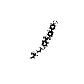 C=CC(=O)OCCCOc1ccc(C(=O)Nc2ccc(-c3ccc(C#N)cc3)cc2)cc1